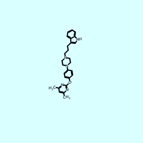 Cc1cc(C)nc(Oc2ccc(N3CCN(CCCc4c[nH]c5ccccc45)CC3)cc2)n1